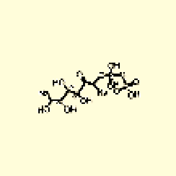 O=C([CH]([Na])OP(=O)(O)OP(=O)(O)O)[C@@H](O)[C@H](O)[C@H](O)[CH](O)[Na]